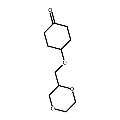 O=C1CCC(OCC2COCCO2)CC1